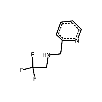 FC(F)(F)CNCc1ccccn1